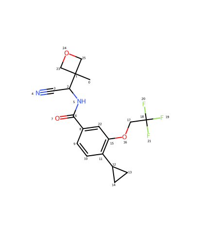 CC1(C(C#N)NC(=O)c2ccc(C3CC3)c(OCC(F)(F)F)c2)COC1